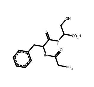 NCC(=O)NC(Cc1ccccc1)C(=O)NC(CO)C(=O)O